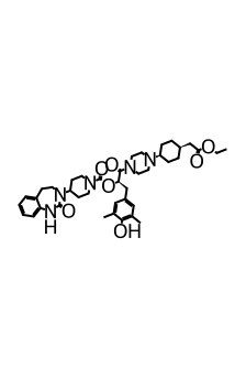 CCOC(=O)C[C@H]1CC[C@@H](N2CCN(C(=O)[C@@H](Cc3cc(C)c(O)c(C)c3)OC(=O)N3CCC(N4CCc5ccccc5NC4=O)CC3)CC2)CC1